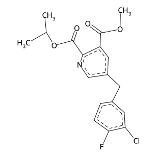 COC(=O)c1cc(Cc2ccc(F)c(Cl)c2)cnc1C(=O)OC(C)C